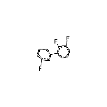 Fc1cc[c]c(-c2cccc(F)c2F)c1